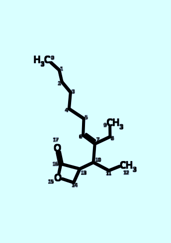 CCCCCCC=C(CC)C(CC)C1COC1=O